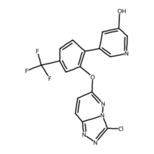 Oc1cncc(-c2ccc(C(F)(F)F)cc2Oc2ccc3nnc(Cl)n3n2)c1